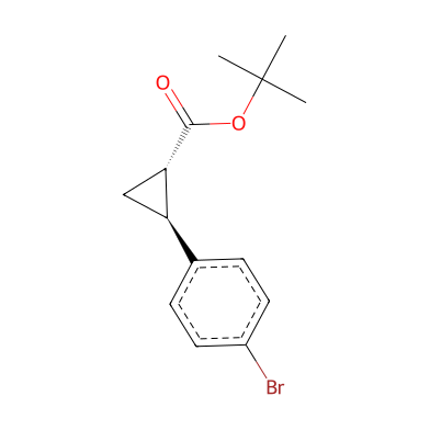 CC(C)(C)OC(=O)[C@H]1C[C@@H]1c1ccc(Br)cc1